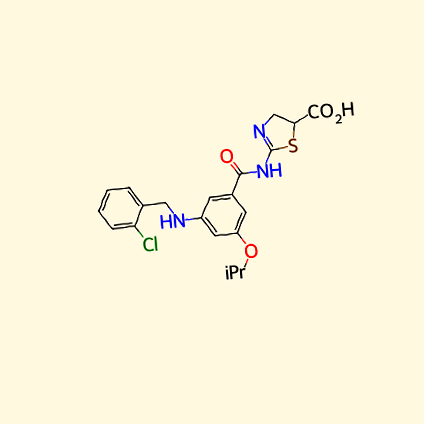 CC(C)Oc1cc(NCc2ccccc2Cl)cc(C(=O)NC2=NCC(C(=O)O)S2)c1